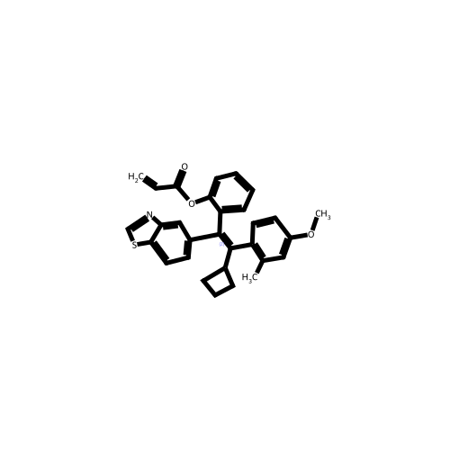 C=CC(=O)Oc1ccccc1/C(=C(\c1ccc(OC)cc1C)C1CCC1)c1ccc2scnc2c1